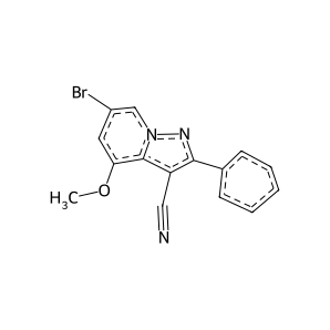 COc1cc(Br)cn2nc(-c3ccccc3)c(C#N)c12